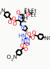 CC[Si](CC)(CC)OC(C)[C@H]1C(=O)N2C(C(=O)OC(=O)c3ccc([N+](=O)[O-])cc3)=C(CN3CC[C@H](CN/C(=N/C(=O)OC(=O)c4ccc([N+](=O)[O-])cc4)NC(=O)OC(=O)c4ccc([N+](=O)[O-])cc4)C3)[C@H](C)[C@H]12